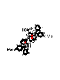 CCCC(O)[C@H]1O[C@@H](n2ccc(NC(c3ccccc3)(c3ccccc3)c3ccc(OC)cc3)nc2=O)C(F)(F)[C@@H]1OC(c1ccccc1)(c1ccccc1)c1ccc(OC)cc1